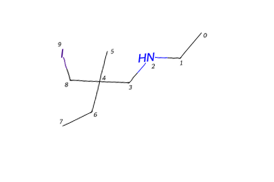 CCNCC(C)(CC)CI